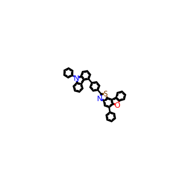 c1ccc(-c2cc3nc(-c4ccc(-c5cccc6c5c5ccccc5n6-c5ccccc5)cc4)sc3c3c2oc2ccccc23)cc1